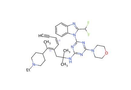 C#C/C=C\C(CC(C)(C)Nc1nc(N2CCOCC2)nc(-n2c(C(F)F)nc3ccccc32)n1)=C(/C)C1CCN(CC)CC1